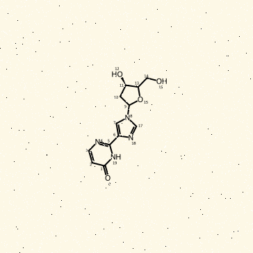 O=c1ccnc(-c2cn(C3C[C@@H](O)C(CO)O3)cn2)[nH]1